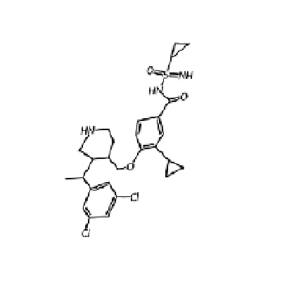 CC(c1cc(Cl)cc(Cl)c1)C1CNCCC1COc1ccc(C(=O)NS(=N)(=O)C2CC2)cc1C1CC1